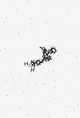 CCOC(=O)N[C@H](CC1CCCCC1)C(=O)N1CCC[C@H]1C(=O)NCCC1CCC(C(=N)N)CC1